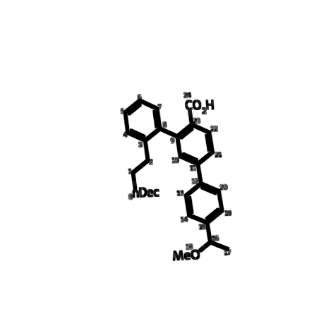 CCCCCCCCCCCCc1ccccc1-c1cc(-c2ccc(C(C)OC)cc2)ccc1C(=O)O